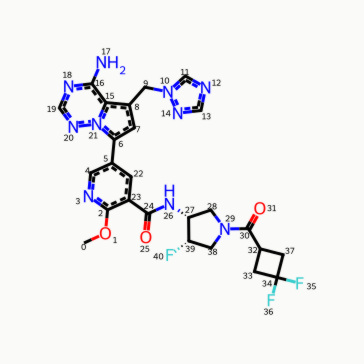 COc1ncc(-c2cc(Cn3cncn3)c3c(N)ncnn23)cc1C(=O)N[C@@H]1CN(C(=O)C2CC(F)(F)C2)C[C@@H]1F